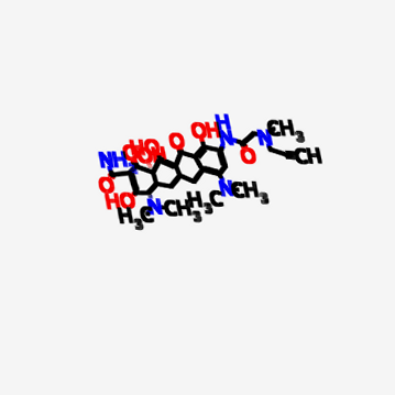 C#CCN(C)CC(=O)Nc1cc(N(C)C)c2c(c1O)C(=O)C1=C(O)[C@]3(O)C(=O)C(C(N)=O)=C(O)[C@@H](N(C)C)C3CC1C2